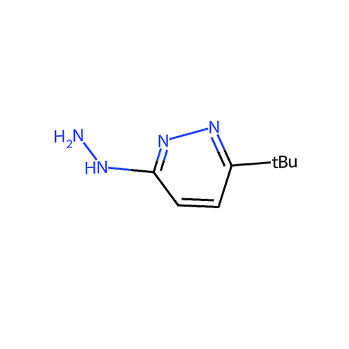 CC(C)(C)c1ccc(NN)nn1